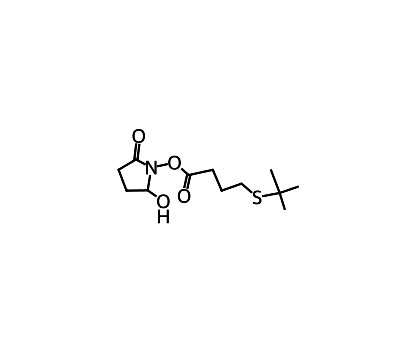 CC(C)(C)SCCCC(=O)ON1C(=O)CCC1O